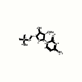 CO[C@H]1C(O)[C@@H](CO[Si](C)(C)C(C)(C)C)O[C@H]1n1ccc(N)nc1=O